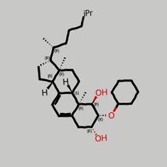 CC(C)CCC[C@@H](C)[C@H]1CC[C@H]2C3=CC=C4C[C@@H](O)[C@@H](OC5CCCCC5)[C@H](O)[C@]4(C)[C@H]3CC[C@]12C